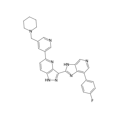 Fc1ccc(-c2cncc3[nH]c(-c4n[nH]c5ccc(-c6cncc(CN7CCCCC7)c6)nc45)nc23)cc1